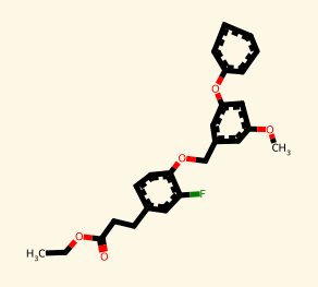 CCOC(=O)CCc1ccc(OCc2cc(OC)cc(Oc3ccccc3)c2)c(F)c1